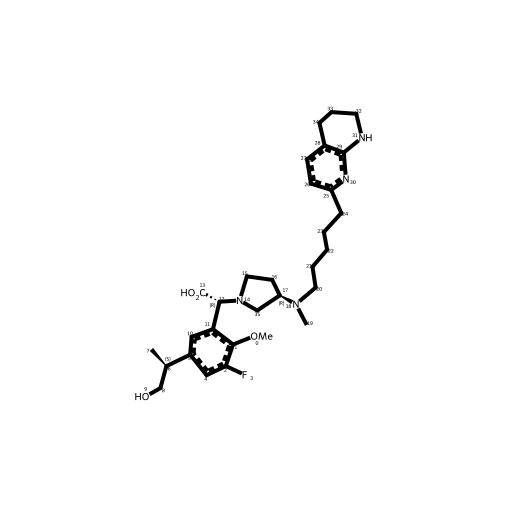 COc1c(F)cc([C@H](C)CO)cc1[C@H](C(=O)O)N1CC[C@@H](N(C)CCCCCc2ccc3c(n2)NCCC3)C1